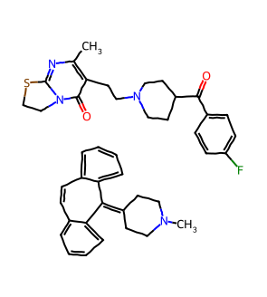 CN1CCC(=C2c3ccccc3C=Cc3ccccc32)CC1.Cc1nc2n(c(=O)c1CCN1CCC(C(=O)c3ccc(F)cc3)CC1)CCS2